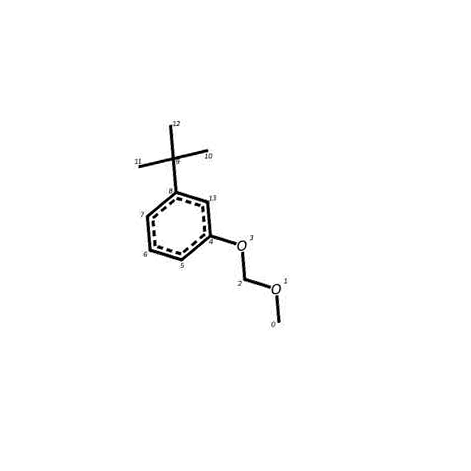 COCOc1cccc(C(C)(C)C)c1